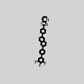 Fc1cc(-c2ccc(-c3ccc4cc(-c5ccc(-c6nc7ncccc7s6)cc5)ccc4c3)cc2)cc(F)c1F